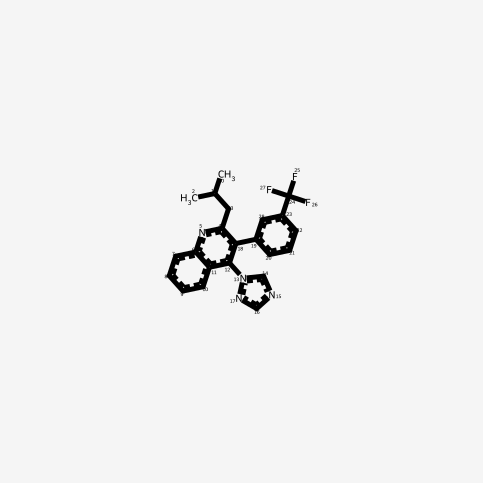 CC(C)Cc1nc2ccccc2c(-n2cncn2)c1-c1cccc(C(F)(F)F)c1